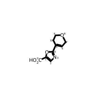 O=C(O)c1cnc(C2=CCOCC2)o1